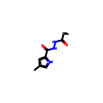 Cc1c[nH]c(C(=O)NNC(=O)OCC(C)C)c1